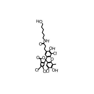 Cc1c(O)c(Cl)cc2c1Oc1c(cc(CCC(=O)NCCCCCCO)c(O)c1Cl)C21OC(=O)c2cc(Cl)c(Cl)cc21